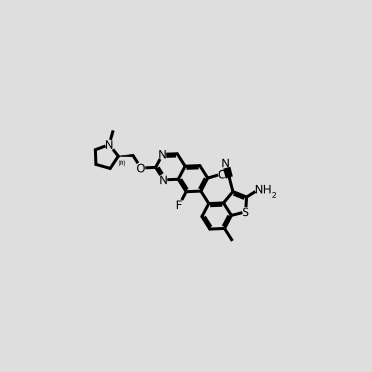 Cc1ccc(-c2c(Cl)cc3cnc(OC[C@H]4CCCN4C)nc3c2F)c2c(C#N)c(N)sc12